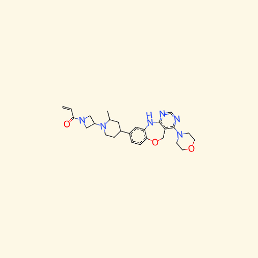 C=CC(=O)N1CC(N2CCC(c3ccc4c(c3)Nc3ncnc(N5CCOCC5)c3CO4)CC2C)C1